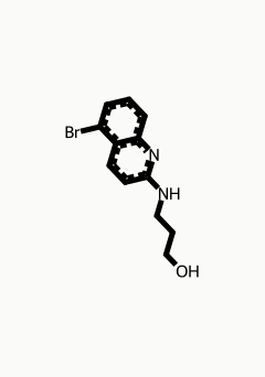 OCCCNc1ccc2c(Br)cccc2n1